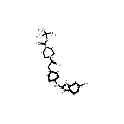 CC(C)(C)OC(=O)N1CCN(C(=O)Cc2ccc(Oc3nc4ccc(F)cc4s3)cc2)CC1